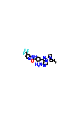 CN1CCC[C@H]1c1nc(-c2ccc(C(=O)Nc3cc(C(F)(F)F)ccn3)cc2)c2c(N)nccn12